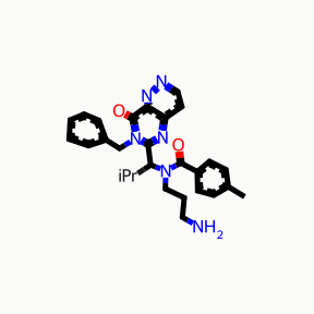 Cc1ccc(C(=O)N(CCCN)C(c2nc3ccnnc3c(=O)n2Cc2ccccc2)C(C)C)cc1